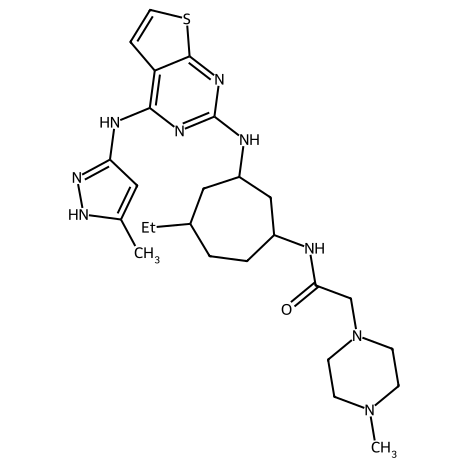 CCC1CCC(NC(=O)CN2CCN(C)CC2)CC(Nc2nc(Nc3cc(C)[nH]n3)c3ccsc3n2)C1